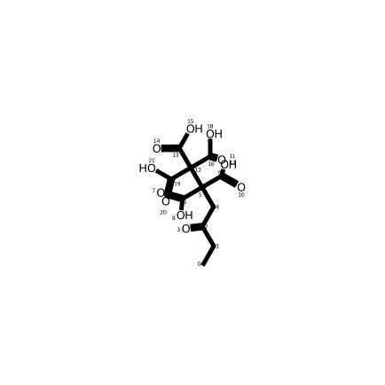 CCC(=O)CC(C(=O)O)(C(=O)O)C(C(=O)O)(C(=O)O)C(=O)O